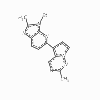 CCn1c(C)nc2ccc(-c3ccn4nc(C)ncc34)nc21